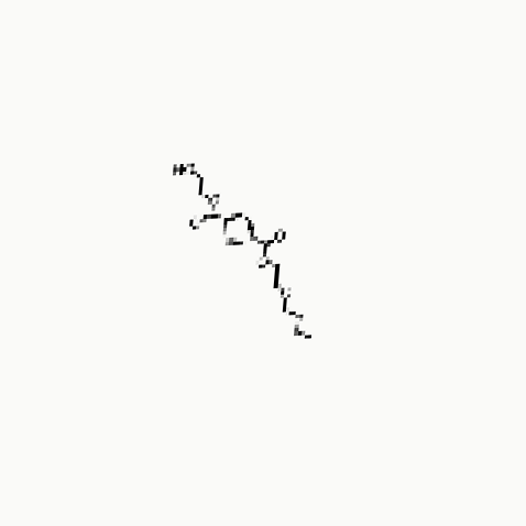 CCCCOCCOC(=O)c1ccc(C(=O)OCCO)cc1